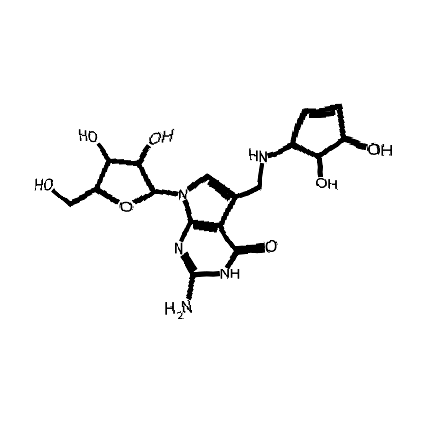 Nc1nc2c(c(CNC3C=CC(O)C3O)cn2C2OC(CO)C(O)C2O)c(=O)[nH]1